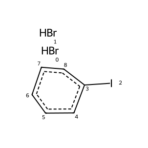 Br.Br.Ic1ccccc1